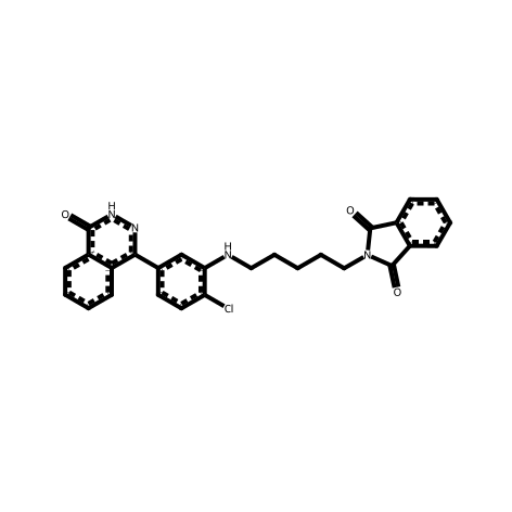 O=C1c2ccccc2C(=O)N1CCCCCNc1cc(-c2n[nH]c(=O)c3ccccc23)ccc1Cl